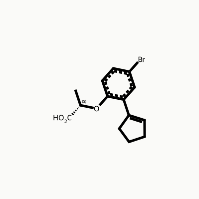 C[C@H](Oc1ccc(Br)cc1C1=CCCC1)C(=O)O